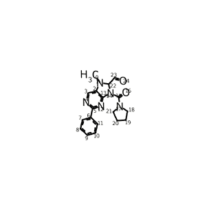 CN1c2cnc(-c3ccccc3)nc2N(C(=O)N2CCCC2)C1C=O